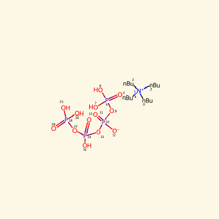 CCCC[N+](CCCC)(CCCC)CCCC.O=P(O)(O)OP(=O)([O-])OP(=O)(O)OP(=O)(O)O